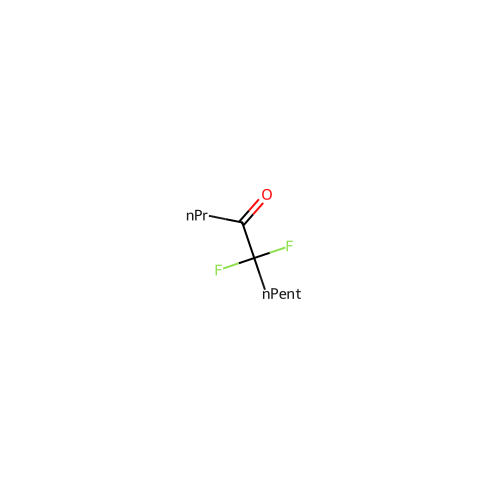 CCCCCC(F)(F)C(=O)CCC